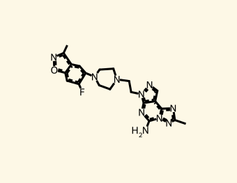 Cc1nc2c3cnn(CCN4CCN(c5cc6c(C)noc6cc5F)CC4)c3nc(N)n2n1